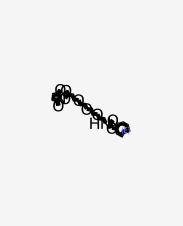 O=C(CCOCCOCCOCCNC(=O)OC1CC/C=C/CCC1)ON1C(=O)CCC1=O